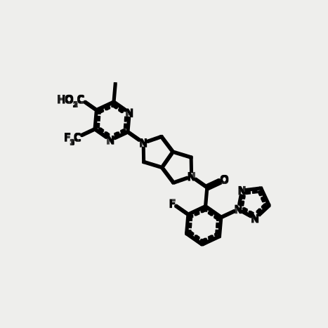 Cc1nc(N2CC3CN(C(=O)c4c(F)cccc4-n4nccn4)CC3C2)nc(C(F)(F)F)c1C(=O)O